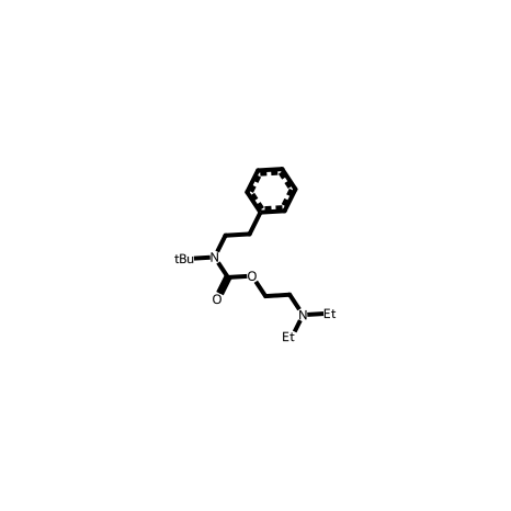 CCN(CC)CCOC(=O)N(CCc1ccccc1)C(C)(C)C